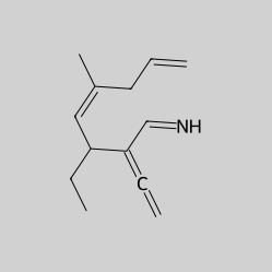 C=C=C(C=N)C(/C=C(/C)CC=C)CC